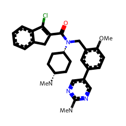 CNc1ncc(-c2ccc(OC)c(CN(C(=O)C3=C(Cl)c4ccccc4C3)[C@H]3CC[C@@H](NC)CC3)c2)cn1